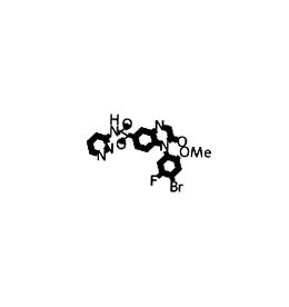 COc1cc(Br)c(F)cc1-n1c(=O)cnc2cc(S(=O)(=O)Nc3cccnn3)ccc21